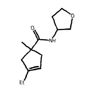 CCC1=CCC(C)(C(=O)NC2CCOC2)C1